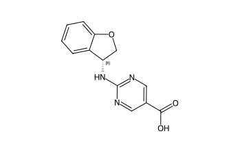 O=C(O)c1cnc(N[C@H]2COc3ccccc32)nc1